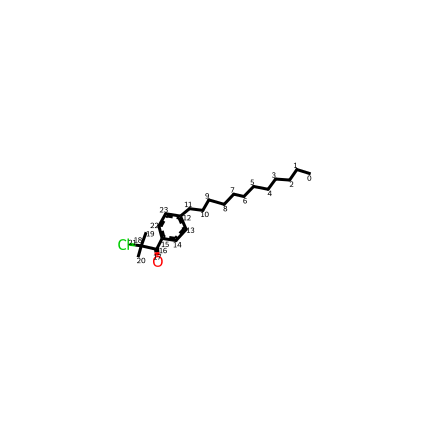 CCCCCCCCCCCCc1ccc(C(=O)C(C)(C)Cl)cc1